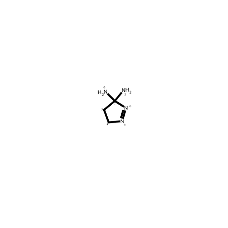 NC1(N)CCN=N1